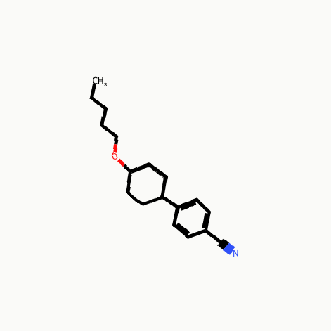 CCCCCOC1CCC(c2ccc(C#N)cc2)CC1